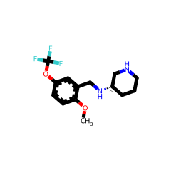 COc1ccc(OC(F)(F)F)cc1CN[C@H]1CCCNC1